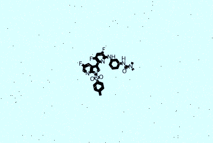 Cc1ccc(S(=O)(=O)N2CC(c3nc(NC4CCCC(NC(=O)N(C)C)C4)c(F)cc3F)c3cc(F)cnc32)cc1